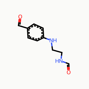 O=CNCCNc1ccc(C=O)cc1